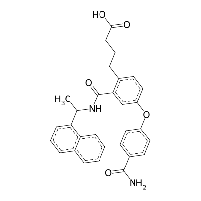 CC(NC(=O)c1cc(Oc2ccc(C(N)=O)cc2)ccc1CCCC(=O)O)c1cccc2ccccc12